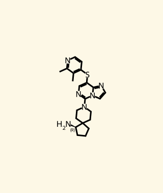 Cc1nccc(Sc2cnc(N3CCC4(CCC[C@H]4N)CC3)n3ccnc23)c1C